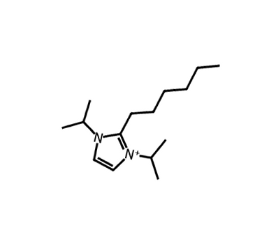 CCCCCCc1n(C(C)C)cc[n+]1C(C)C